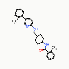 O=C(NC1CCC(CNc2ccc(-c3ccccc3C(F)(F)F)cn2)CC1)c1ccccc1C(F)(F)F